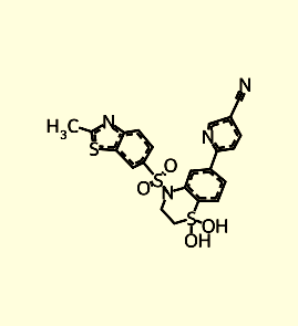 Cc1nc2ccc(S(=O)(=O)N3CCS(O)(O)c4ccc(-c5ccc(C#N)cn5)cc43)cc2s1